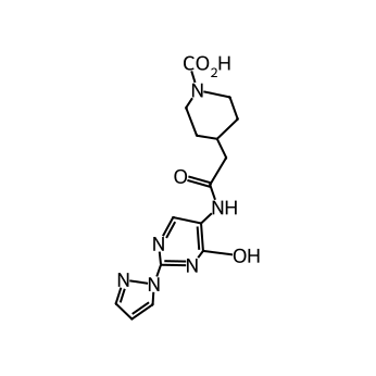 O=C(CC1CCN(C(=O)O)CC1)Nc1cnc(-n2cccn2)nc1O